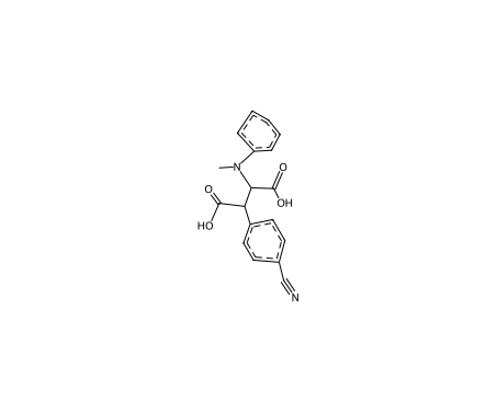 CN(c1ccccc1)C(C(=O)O)C(C(=O)O)c1ccc(C#N)cc1